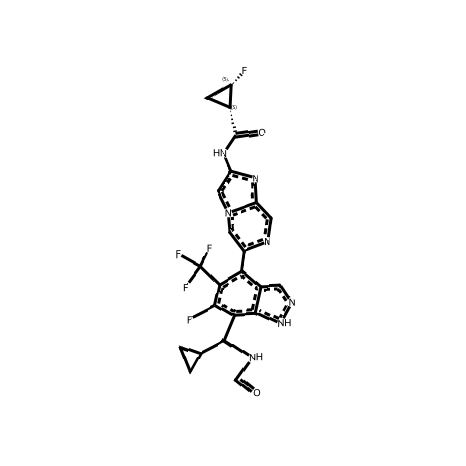 O=CNC(c1c(F)c(C(F)(F)F)c(-c2cn3cc(NC(=O)[C@@H]4C[C@@H]4F)nc3cn2)c2cn[nH]c12)C1CC1